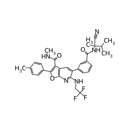 CNC(=O)c1c(-c2ccc(C)cc2)oc2nc(NCC(F)(F)F)c(-c3cccc(C(=O)NC(C)(C#N)C(C)C)c3)cc12